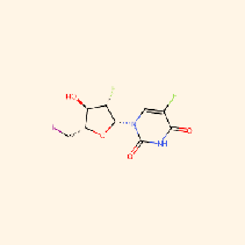 O=c1[nH]c(=O)n([C@@H]2O[C@H](CI)[C@@H](O)[C@@H]2F)cc1F